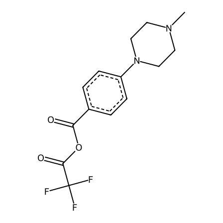 CN1CCN(c2ccc(C(=O)OC(=O)C(F)(F)F)cc2)CC1